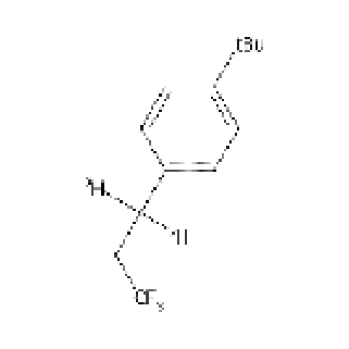 [2H]C([2H])(CC(F)(F)F)c1ccc(C(C)(C)C)cc1